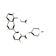 C=C(C#N)CNc1c(OC)ccc2ccc(-c3ccc(N)c(C(=O)NC4=C[C@H](C)N(C)CC4)n3)cc12